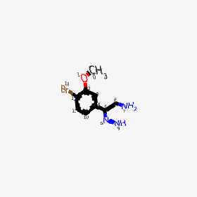 COc1cc(/C(=C/N)N=N)ccc1Br